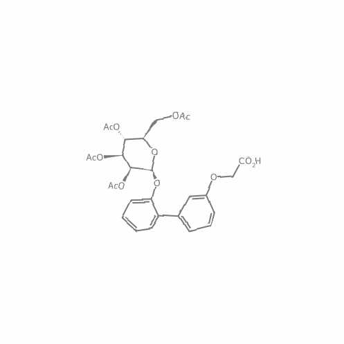 CC(=O)OC[C@H]1O[C@@H](Oc2ccccc2-c2cccc(OCC(=O)O)c2)[C@@H](OC(C)=O)[C@@H](OC(C)=O)[C@@H]1OC(C)=O